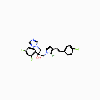 OC(Cn1cncn1)(Cn1ccc(C=Cc2ccc(F)cc2)c1Cl)c1ccc(F)cc1F